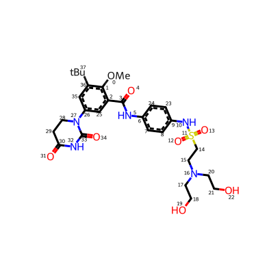 COc1c(C(=O)Nc2ccc(NS(=O)(=O)CCN(CCO)CCO)cc2)cc(N2CCC(=O)NC2=O)cc1C(C)(C)C